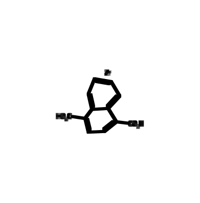 O=C(O)c1ccc(C(=O)O)c2ccccc12.[Zr]